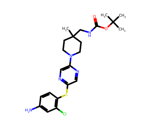 CC1(CNC(=O)OC(C)(C)C)CCN(c2cnc(Sc3ccc(N)cc3Cl)cn2)CC1